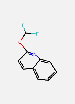 FC(F)Oc1ccc2ccccc2n1